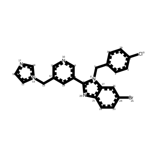 Clc1ccc(Cn2c(-c3cncc(Cn4ccnc4)c3)nc3ccc(Br)cc32)cc1